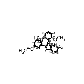 CCOc1cccc(-c2cc3ncc(Cl)nc3n2-c2c(OC)cccc2OC)n1